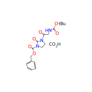 CC(C)(C)OC(=O)NCC(=O)N1C(=O)N(C(=O)OCc2ccccc2)C[C@H]1C(=O)O